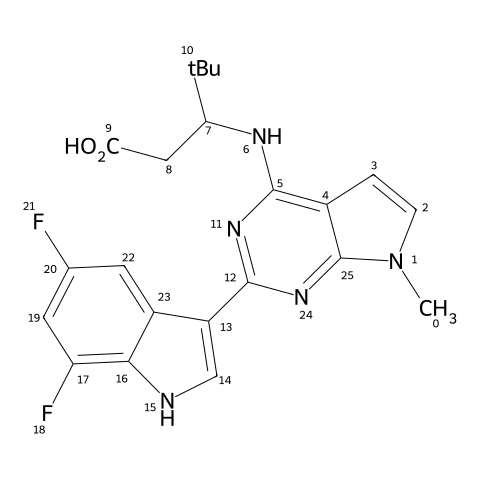 Cn1ccc2c(NC(CC(=O)O)C(C)(C)C)nc(-c3c[nH]c4c(F)cc(F)cc34)nc21